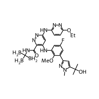 BC(B)(B)NC(=O)c1nnc(Nc2ccc(OCC)nn2)cc1Nc1cc(F)cc(-c2cc(C(C)(C)O)n(C)n2)c1OC